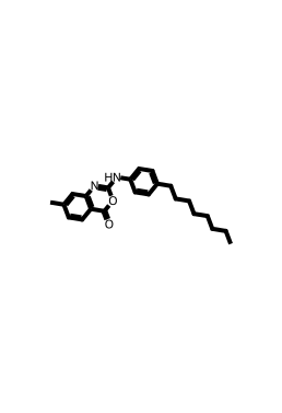 CCCCCCCCc1ccc(Nc2nc3cc(C)ccc3c(=O)o2)cc1